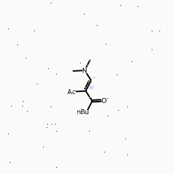 CCCCC(=O)/C(=C/N(C)C)C(C)=O